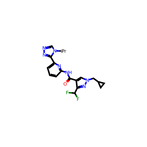 CC(C)n1cnnc1-c1cccc(NC(=O)c2cn(CC3CC3)nc2C(F)F)n1